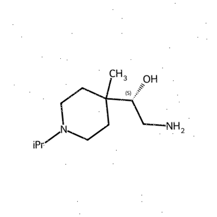 CC(C)N1CCC(C)([C@H](O)CN)CC1